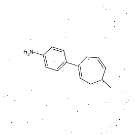 CC1C=CCC(c2ccc(N)cc2)=CC1